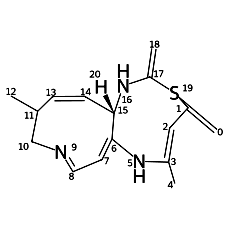 C=C1/C=C(\C)N/C2=C/C=N/CC(C)/C=C\[C@@H]2NC(=C)S1